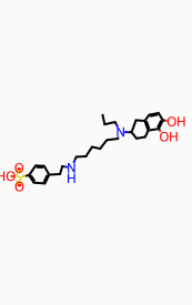 CCCN(CCCCCCNCCc1ccc(S(=O)(=O)O)cc1)C1CCc2c(ccc(O)c2O)C1